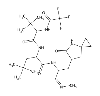 C/N=C\C(CC1CC2(CC2)NC1=O)NC(=O)C(CC(C)(C)C)NC(=O)C(NC(=O)C(F)(F)F)C(C)(C)C